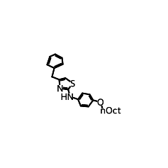 CCCCCCCCOc1ccc(Nc2nc(Cc3ccccc3)cs2)cc1